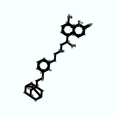 O=c1ccc2c([C@@H](O)CNCCc3cccc(OCC45CC6CC(CC(C6)C4)C5)c3)ccc(O)c2[nH]1